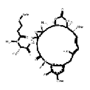 COc1cc2cc(c1Cl)N(C)C(=O)C[C@H](OC(=O)[C@H](C)N(C)C(=O)CCSSC)C1(C)O[C@@H]1[C@H](C)[C@@H]1C[C@@](O)(NC(=O)O1)[C@H](OC)/C=C/C=C(\C)C2